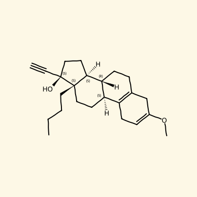 C#C[C@]1(O)CC[C@H]2[C@@H]3CCC4=C(CC=C(OC)C4)[C@H]3CC[C@@]21CCCC